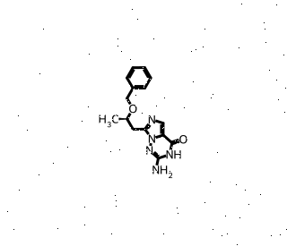 C[C@H](Cc1ncc2c(=O)[nH]c(N)nn12)OCc1ccccc1